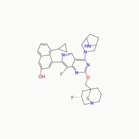 Oc1cc(-c2ncc3c(N4CC5CCC(C4)N5)nc(OCC45CCCN(C[C@H](F)C4)S5)nc3c2F)c2c(C3CC3)cccc2c1